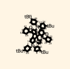 CC(C)(C)c1ccc(N(c2ccc(C(C)(C)C)cc2)c2ccc3c(c2)C2(c4ccccc4N4c5ccccc5Oc5cccc2c54)c2cc(N(c4ccc(C(C)(C)C)cc4)c4ccc(C(C)(C)C)cc4)c4oc5ccccc5c4c2-3)cc1